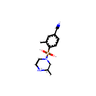 Cc1cc(C#N)ccc1S(=O)(=O)N1CCNC(C)C1